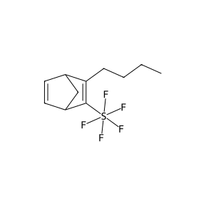 CCCCC1=C(S(F)(F)(F)(F)F)C2C=CC1C2